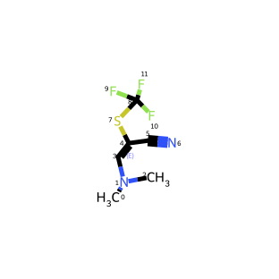 CN(C)/C=C(\C#N)SC(F)(F)F